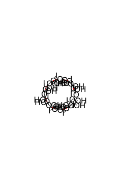 OC1C2OC(CI)C(OC3OC(CI)C(OC4OC(CI)C(OC5OC(CI)C(OC6OC(CI)C(OC7OC(CI)C(OC8OC(CI)C(OC9OC(CI)C(O2)C(O)C9O)C(O)C8O)C(O)C7O)C(O)C6O)C(O)C5O)C(O)C4O)C(O)C3O)C1O